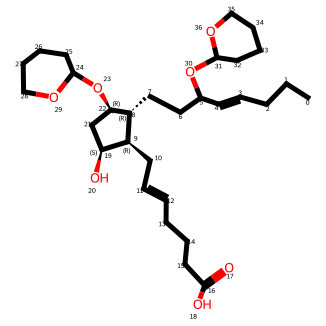 CCCC=CC(CC[C@@H]1[C@@H](CC=CCCCC(=O)O)[C@@H](O)C[C@H]1OC1CCCCO1)OC1CCCCO1